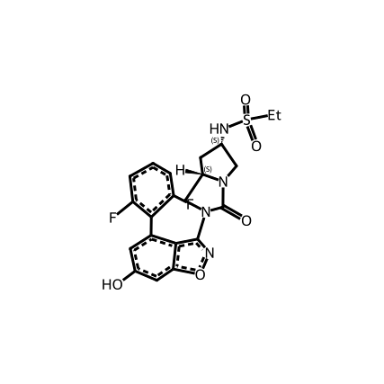 CCS(=O)(=O)N[C@H]1C[C@H]2CN(c3noc4cc(O)cc(-c5c(F)cccc5F)c34)C(=O)N2C1